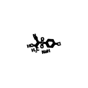 C/C(O)=C(/C#N)S(=O)(=O)c1ccc(Cl)cc1.[NaH]